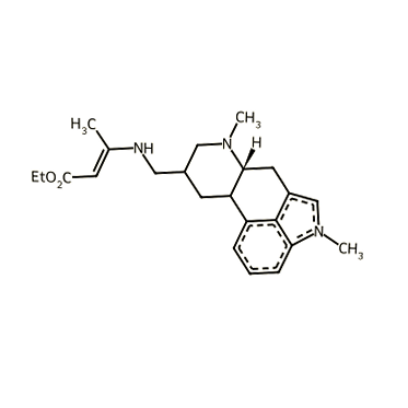 CCOC(=O)C=C(C)NCC1CC2c3cccc4c3c(cn4C)C[C@H]2N(C)C1